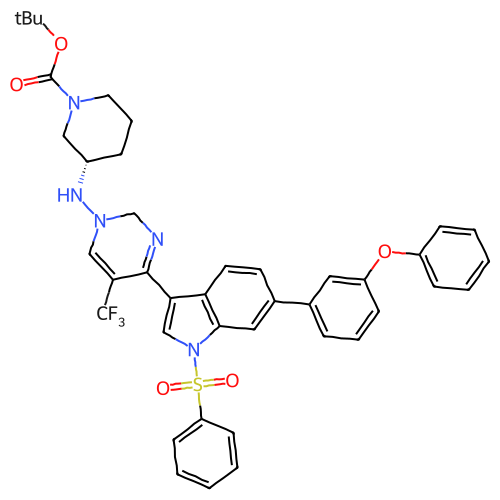 CC(C)(C)OC(=O)N1CCC[C@H](NN2C=C(C(F)(F)F)C(c3cn(S(=O)(=O)c4ccccc4)c4cc(-c5cccc(Oc6ccccc6)c5)ccc34)=NC2)C1